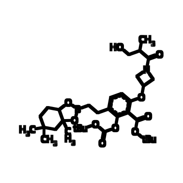 CC(CO)C(=O)N1CC(Oc2ccc(CCB3OC4CCC(C)(C)CC4(C)O3)c(OC(=O)OC(C)(C)C)c2C(=O)OC(C)(C)C)C1